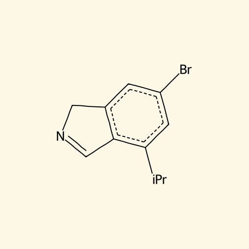 CC(C)c1cc(Br)cc2c1C=NC2